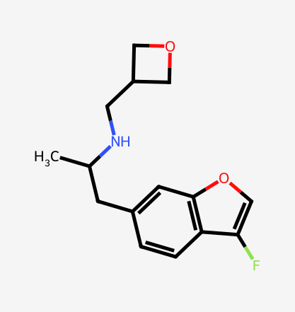 CC(Cc1ccc2c(F)coc2c1)NCC1COC1